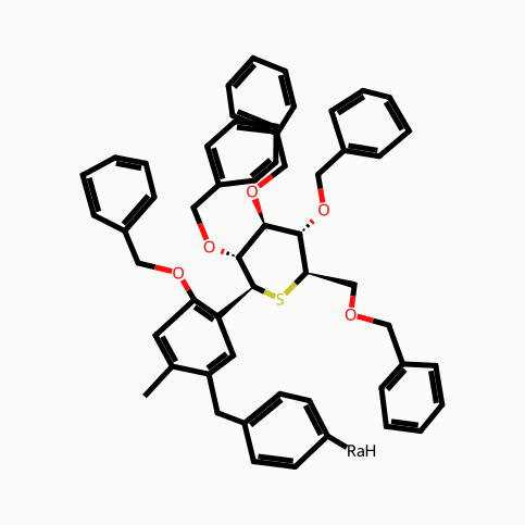 Cc1cc(OCc2ccccc2)c([C@@H]2S[C@H](COCc3ccccc3)[C@@H](OCc3ccccc3)[C@H](OCc3ccccc3)[C@H]2OCc2ccccc2)cc1Cc1cc[c]([RaH])cc1